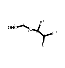 O=CCCC(F)C(F)F